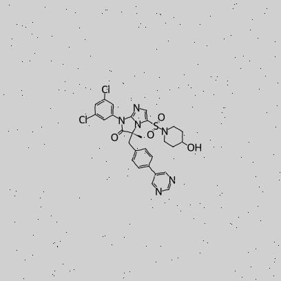 C[C@@]1(Cc2ccc(-c3cncnc3)cc2)C(=O)N(c2cc(Cl)cc(Cl)c2)c2ncc(S(=O)(=O)N3CCC(O)CC3)n21